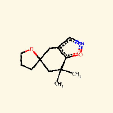 CC1(C)CC2(CCCO2)Cc2cnoc21